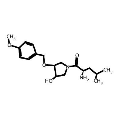 COc1ccc(COC2CN(C(=O)[C@H](N)CC(C)C)CC2O)cc1